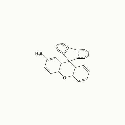 BC1=CC2C(C=C1)OC1C=CC=CC1C21c2ccccc2-c2ccccc21